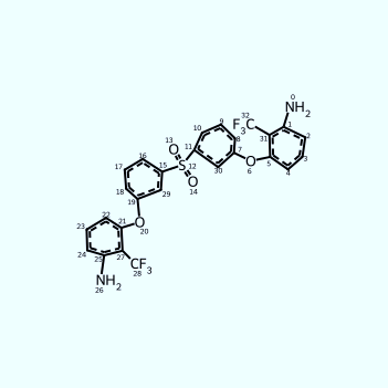 Nc1cccc(Oc2cccc(S(=O)(=O)c3cccc(Oc4cccc(N)c4C(F)(F)F)c3)c2)c1C(F)(F)F